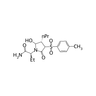 CCC[C@H]1C(O)N([C@@H](CC)C(N)=O)C(=O)C1S(=O)(=O)c1ccc(C)cc1